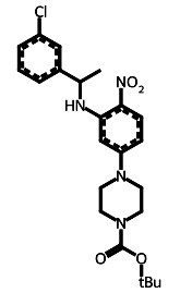 CC(Nc1cc(N2CCN(C(=O)OC(C)(C)C)CC2)ccc1[N+](=O)[O-])c1cccc(Cl)c1